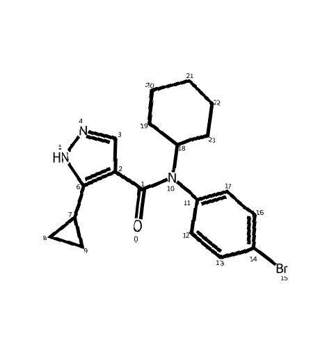 O=C(c1cn[nH]c1C1CC1)N(c1ccc(Br)cc1)C1CCCCC1